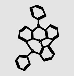 c1ccc(B2c3cccc4c3-n3c5c2cccc5c2cccc(c23)B4c2ccccc2)cc1